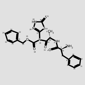 C[C@H](NC(=O)[C@@H](N)Cc1ccccc1)C(=O)N(C(=O)OCc1ccccc1)c1n[nH]c(=S)s1